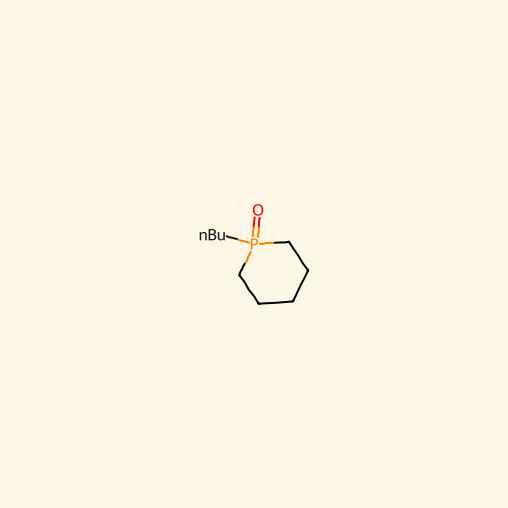 CCCCP1(=O)CCCCC1